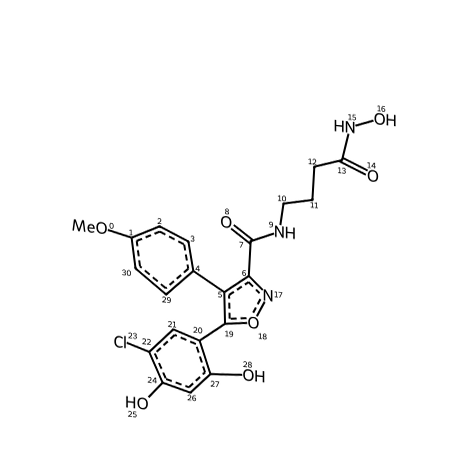 COc1ccc(-c2c(C(=O)NCCCC(=O)NO)noc2-c2cc(Cl)c(O)cc2O)cc1